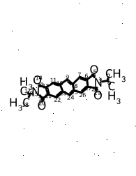 CC(C)n1c(=O)c2cc3cc4cc5c(=O)n(C(C)C)c(=O)c5cc4cc3cc2c1=O